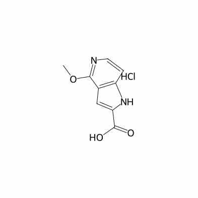 COc1nccc2[nH]c(C(=O)O)cc12.Cl